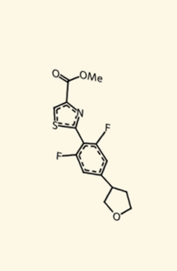 COC(=O)c1csc(-c2c(F)cc(C3CCOC3)cc2F)n1